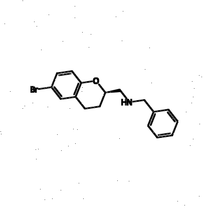 Brc1ccc2c(c1)CC[C@H](CNCc1ccccc1)O2